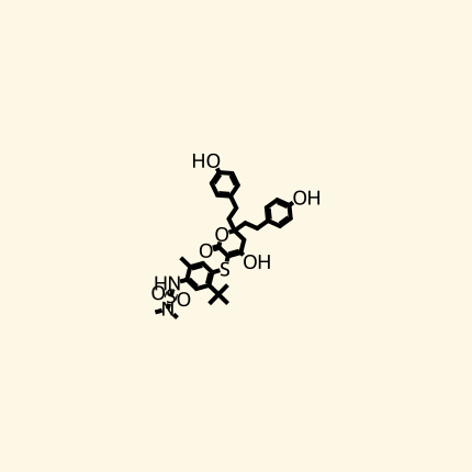 Cc1cc(SC2=C(O)CC(CCc3ccc(O)cc3)(CCc3ccc(O)cc3)OC2=O)c(C(C)(C)C)cc1NS(=O)(=O)N(C)C